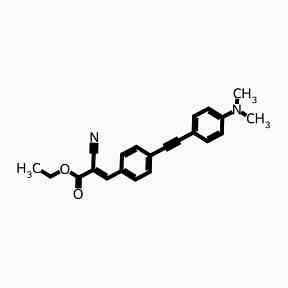 CCOC(=O)/C(C#N)=C/c1ccc(C#Cc2ccc(N(C)C)cc2)cc1